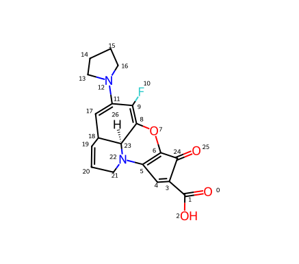 O=C(O)C1=CC2=C(OC3=C(F)C(N4CCCC4)=CC4C=CCN2[C@H]34)C1=O